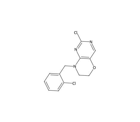 Clc1ncc2c(n1)N(Cc1ccccc1Cl)CCO2